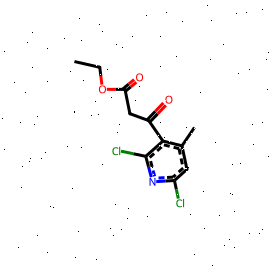 CCOC(=O)CC(=O)c1c(C)cc(Cl)nc1Cl